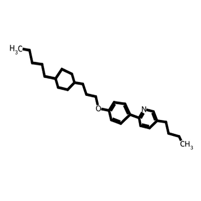 CCCCCC1CCC(CCCOc2ccc(-c3ccc(CCCC)cn3)cc2)CC1